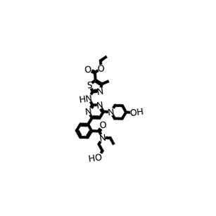 CCOC(=O)c1sc(Nc2nc(-c3ccccc3C(=O)N(CC)CCO)cc(N3CCC(O)CC3)n2)nc1C